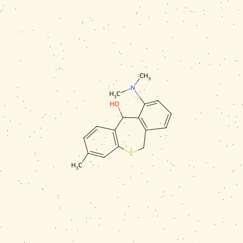 Cc1ccc2c(c1)SCc1cccc(N(C)C)c1C2O